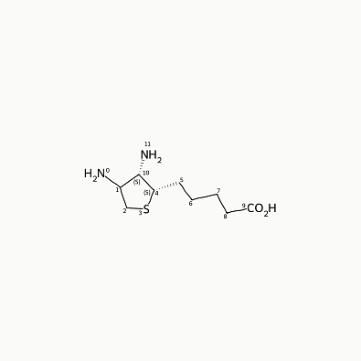 NC1CS[C@@H](CCCCC(=O)O)[C@H]1N